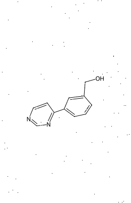 OCc1cccc(-c2ccncn2)c1